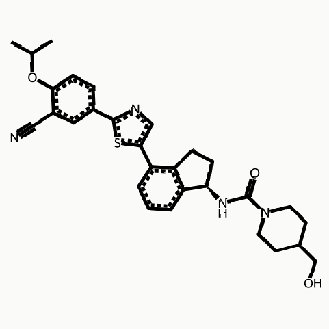 CC(C)Oc1ccc(-c2ncc(-c3cccc4c3CC[C@H]4NC(=O)N3CCC(CO)CC3)s2)cc1C#N